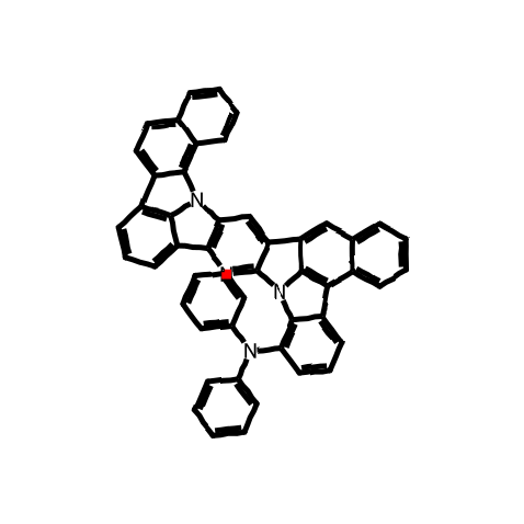 c1ccc(N(c2ccccc2)c2cccc3c4c5ccccc5cc5c6cc7c(nc6n(c23)c54)c2cccc3c4ccc5ccccc5c4n7c32)cc1